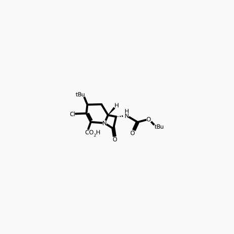 CC(C)(C)OC(=O)N[C@@H]1C(=O)N2C(C(=O)O)=C(Cl)C(C(C)(C)C)C[C@H]12